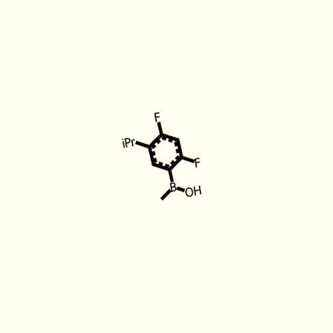 CB(O)c1cc(C(C)C)c(F)cc1F